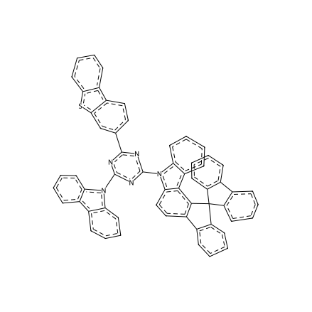 c1ccc2c(c1)-c1ccccc1C21c2ccccc2-c2ccc3c(c21)c1ccccc1n3-c1nc(-c2ccc3c(c2)sc2ccccc23)nc(-n2c3ccccc3c3ccccc32)n1